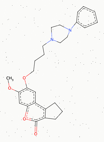 COc1cc2oc(=O)c3c(c2cc1OCCCCN1CCN(c2ccccc2)CC1)CCC3